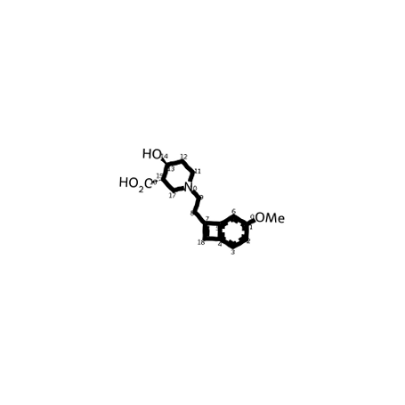 COc1ccc2c(c1)C(CCN1CC[C@H](O)[C@@H](C(=O)O)C1)=C2